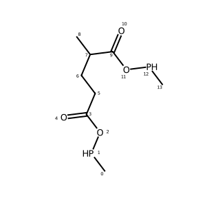 CPOC(=O)CCC(C)C(=O)OPC